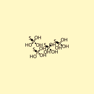 OP(O)(O)=S.OP(O)(O)=S.OP(O)(O)=S.OP(O)(O)=S